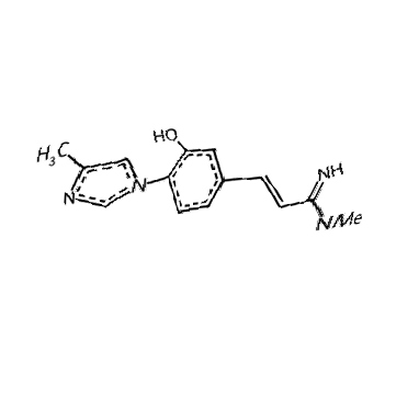 CNC(=N)/C=C/c1ccc(-n2cnc(C)c2)c(O)c1